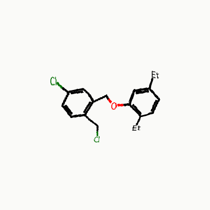 CCc1ccc(CC)c(OCc2cc(Cl)ccc2CCl)c1